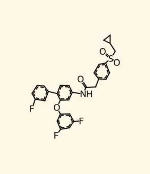 O=C(Cc1ccc(S(=O)(=O)CC2CC2)cc1)Nc1ccc(-c2cccc(F)c2)c(Oc2cc(F)cc(F)c2)c1